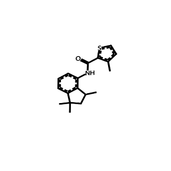 Cc1ccsc1C(=O)Nc1cccc2c1C(C)CC2(C)C